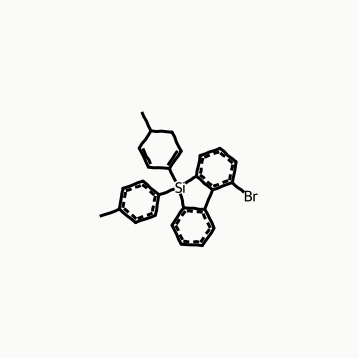 Cc1ccc([Si]2(C3=CCC(C)C=C3)c3ccccc3-c3c(Br)cccc32)cc1